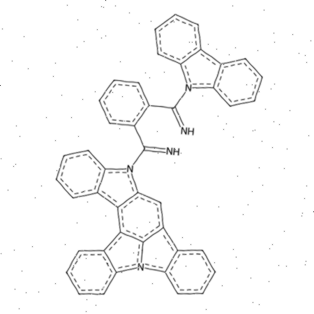 N=C(c1ccccc1C(=N)n1c2ccccc2c2c3c4ccccc4n4c5ccccc5c(cc21)c34)n1c2ccccc2c2ccccc21